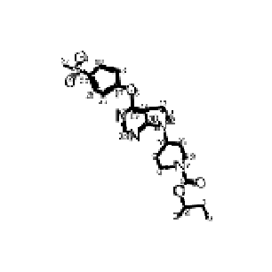 CCC(C)OC(=O)N1CCC(n2ncc3c(Oc4ccc(S(C)(=O)=O)cc4)ncnc32)CC1